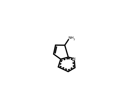 NC1C=Cc2cccnc21